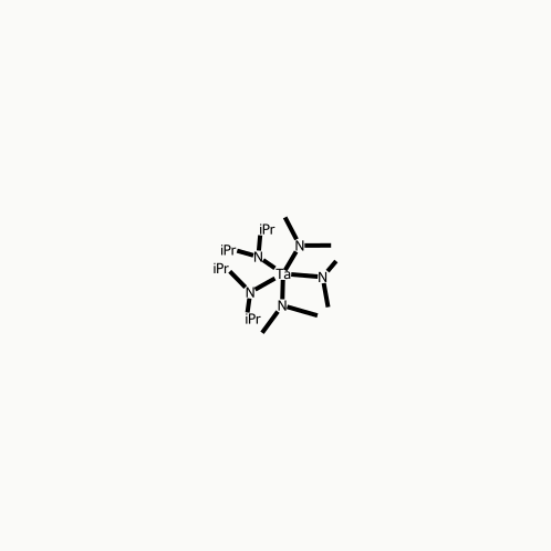 CC(C)[N](C(C)C)[Ta]([N](C)C)([N](C)C)([N](C)C)[N](C(C)C)C(C)C